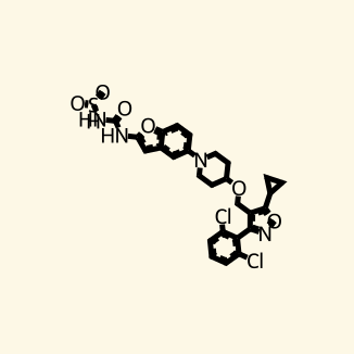 O=C(Nc1cc2cc(N3CCC(OCc4c(-c5c(Cl)cccc5Cl)noc4C4CC4)CC3)ccc2o1)N[SH](=O)=O